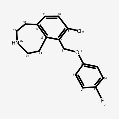 Fc1ccc(OCc2c(Cl)ccc3c2CCNCC3)cc1